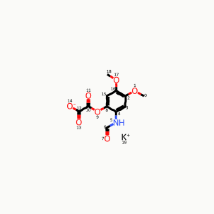 COc1cc(NC=O)c(OC(=O)C(=O)[O-])cc1OC.[K+]